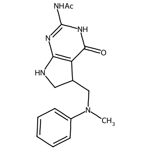 CC(=O)Nc1nc2c(c(=O)[nH]1)C(CN(C)c1ccccc1)CN2